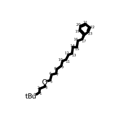 CC(C)(C)CCCOCCCCCCCCCCCCCc1ccccc1